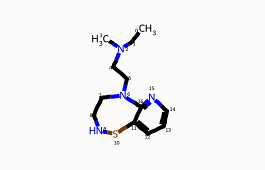 CCN(C)CCN1CCNSc2cccnc21